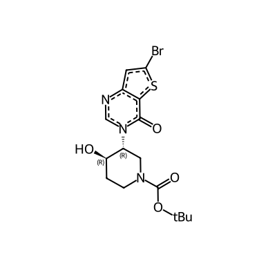 CC(C)(C)OC(=O)N1CC[C@@H](O)[C@H](n2cnc3cc(Br)sc3c2=O)C1